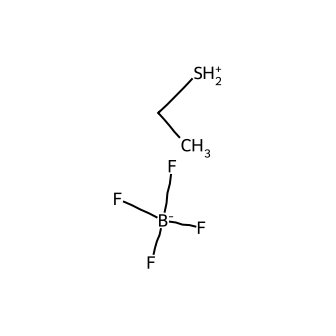 CC[SH2+].F[B-](F)(F)F